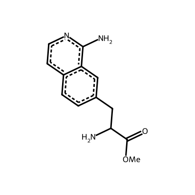 COC(=O)C(N)Cc1ccc2ccnc(N)c2c1